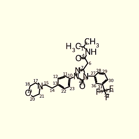 CC(C)NC(=O)Cc1nn(-c2ccc(CCN3CCOCC3)cc2)c(=O)n1-c1cccc(C(F)(F)F)c1